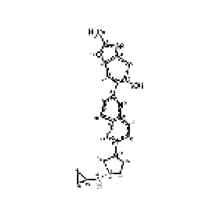 Cc1nc2cc(O)c(-c3ccc4nc(N5CC[C@H](NC6CC6)C5)ccc4n3)cc2o1